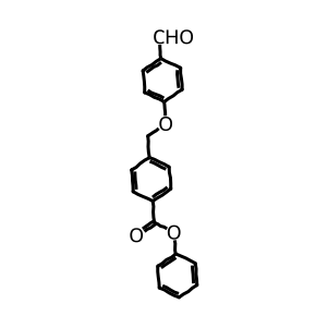 O=Cc1ccc(OCc2ccc(C(=O)Oc3ccccc3)cc2)cc1